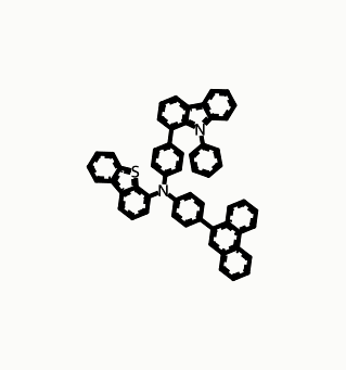 c1ccc(-n2c3ccccc3c3cccc(-c4ccc(N(c5ccc(-c6cc7ccccc7c7ccccc67)cc5)c5cccc6c5sc5ccccc56)cc4)c32)cc1